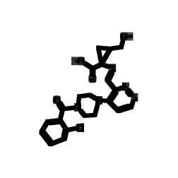 O=C(c1ccccc1Cl)N1CCN(c2ccnnc2C=NC2(C(=O)O)CC2CO)CC1